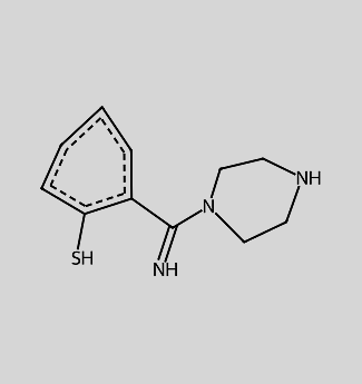 N=C(c1ccccc1S)N1CCNCC1